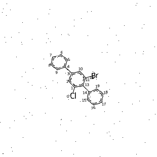 Clc1cc(-c2ccccc2)cc(Br)c1-c1ccccc1